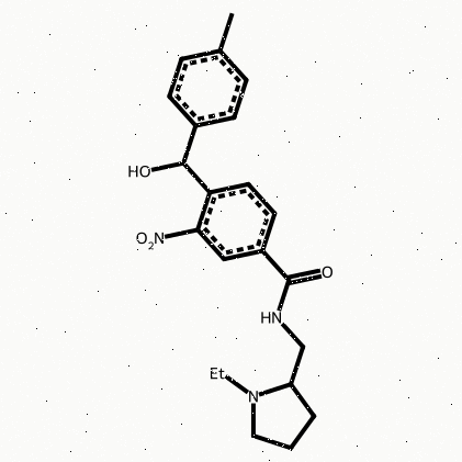 CCN1CCCC1CNC(=O)c1ccc(C(O)c2ccc(C)cc2)c([N+](=O)[O-])c1